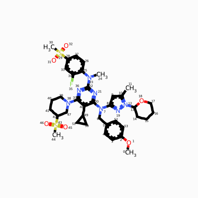 COc1ccc(CN(c2cc(C)n(C3CCCCO3)n2)c2nc(N(C)c3ccc(S(C)(=O)=O)cc3F)nc(N3CCCC(S(C)(=O)=O)C3)c2C2CC2)cc1